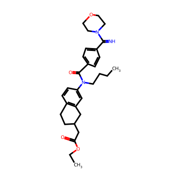 CCCCN(C(=O)c1ccc(C(=N)N2CCOCC2)cc1)c1ccc2c(c1)CC(CC(=O)OCC)CC2